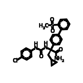 CS(=O)(=O)c1ccccc1-c1ccc([C@@](CC2CC2)(NC(=O)Nc2ccc(Cl)cc2)C(N)=O)cc1